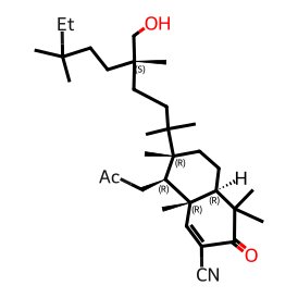 CCC(C)(C)CC[C@](C)(CO)CCC(C)(C)[C@]1(C)CC[C@H]2C(C)(C)C(=O)C(C#N)=C[C@]2(C)[C@H]1CC(C)=O